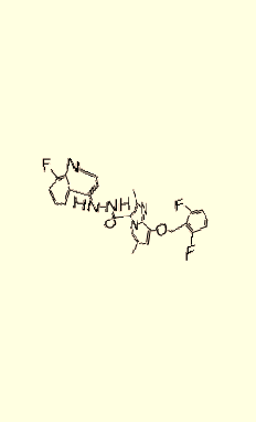 Cc1cc(OCc2c(F)cccc2F)c2nc(C)c(C(=O)NNc3ccnc4c(F)cccc34)n2c1